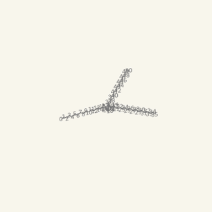 CCCCCCCCCCCCCCCCn1cc[n+](CCCCCCCCCCCCCCCC)c1CCCCCCCCCCCCCC